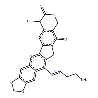 NCC/C=C/c1c2c(nc3cc4c(cc13)OCO4)-c1cc3c(c(=O)n1C2)COC(=O)C3O